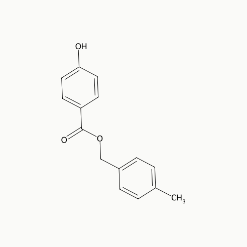 Cc1ccc(COC(=O)c2ccc(O)cc2)cc1